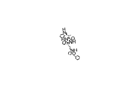 CC(c1c[nH]c2ccccc12)[C@H]1NC(=O)[C@@H](CCCNC(=O)OCc2ccccc2)NC1=O